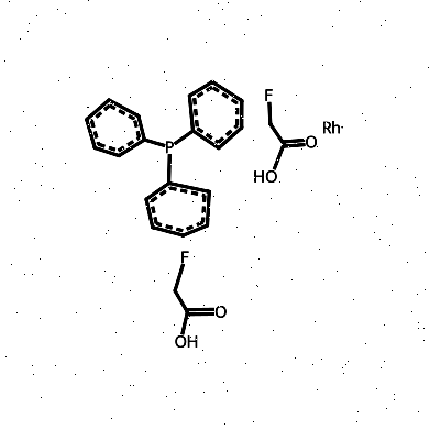 O=C(O)CF.O=C(O)CF.[Rh].c1ccc(P(c2ccccc2)c2ccccc2)cc1